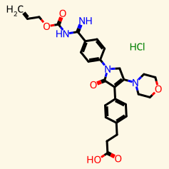 C=CCOC(=O)NC(=N)c1ccc(N2CC(N3CCOCC3)=C(c3ccc(CCC(=O)O)cc3)C2=O)cc1.Cl